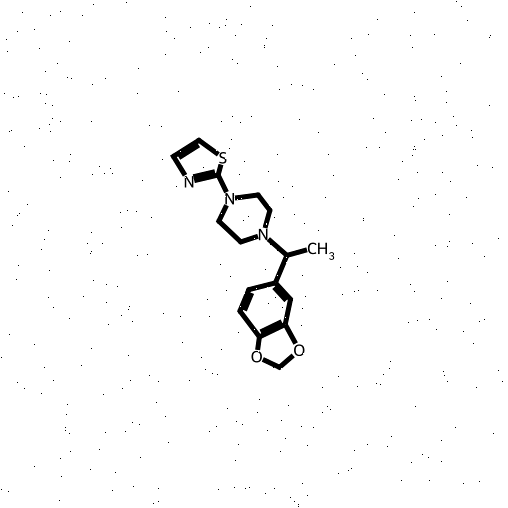 CC(c1ccc2c(c1)OCO2)N1CCN(c2nccs2)CC1